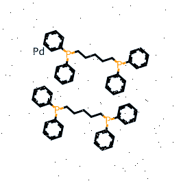 [Pd].c1ccc(P(CCCCCP(c2ccccc2)c2ccccc2)c2ccccc2)cc1.c1ccc(P(CCCCCP(c2ccccc2)c2ccccc2)c2ccccc2)cc1